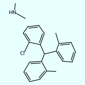 CNC.Cc1ccccc1C(c1ccccc1C)c1ccccc1Cl